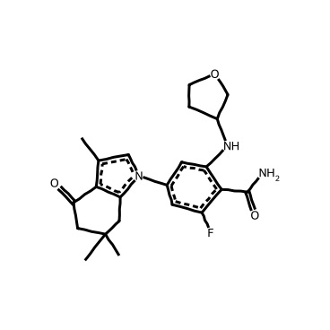 Cc1cn(-c2cc(F)c(C(N)=O)c(NC3CCOC3)c2)c2c1C(=O)CC(C)(C)C2